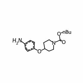 CCCCOC(=O)N1CCC(Oc2ccc(N)cc2)CC1